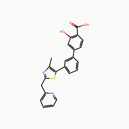 Cc1nc(Cc2ccccn2)sc1-c1cccc(-c2ccc(C(=O)O)c(O)c2)c1